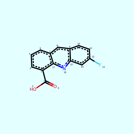 O=C(O)c1cccc2cc3ccc(F)cc3nc12